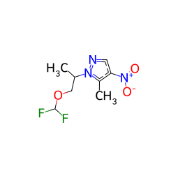 Cc1c([N+](=O)[O-])cnn1C(C)COC(F)F